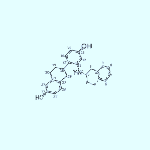 CCC(Cc1ccccc1)Nc1cc(O)ccc1C1CCc2cc(O)ccc2C1